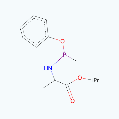 CC(C)OC(=O)C(C)NP(C)Oc1ccccc1